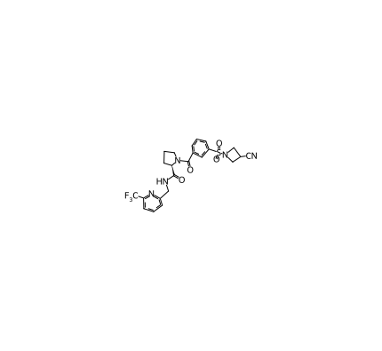 N#CC1CN(S(=O)(=O)c2cccc(C(=O)N3CCC[C@@H]3C(=O)NCc3cccc(C(F)(F)F)n3)c2)C1